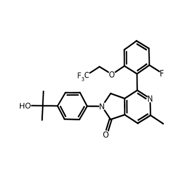 Cc1cc2c(c(-c3c(F)cccc3OCC(F)(F)F)n1)CN(c1ccc(C(C)(C)O)cc1)C2=O